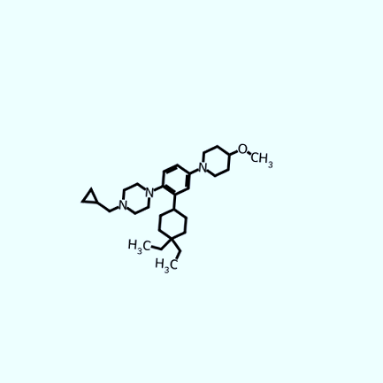 CCC1(CC)CCC(c2cc(N3CCC(OC)CC3)ccc2N2CCN(CC3CC3)CC2)CC1